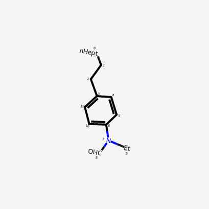 CCCCCCCCCc1ccc(N(C=O)CC)cc1